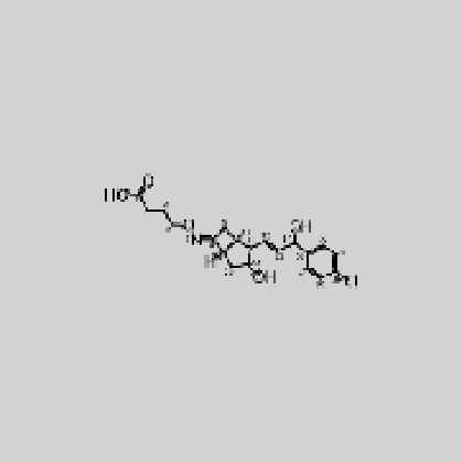 O=C(O)CCCON=C1C[C@H]2C(C=CC(O)c3ccc(Cl)cc3)C(O)C[C@H]12